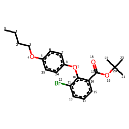 CCCCOc1ccc(Oc2c(Br)cccc2C(=O)OC(C)(C)C)cc1